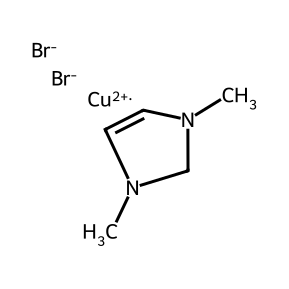 CN1C=CN(C)C1.[Br-].[Br-].[Cu+2]